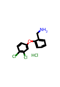 Cl.NCc1ccccc1Oc1ccc(Cl)c(Cl)c1